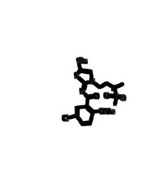 COc1ccc(Cl)cc1C(=O)N=c1sc(C(C)(C)C)cn1CCN(C)S(C)(=O)=O